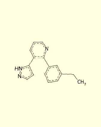 CCc1cccc(-c2ncccc2-c2ccn[nH]2)c1